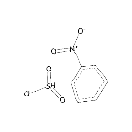 O=[N+]([O-])c1ccccc1.O=[SH](=O)Cl